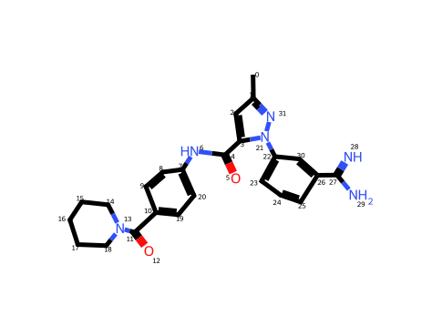 Cc1cc(C(=O)Nc2ccc(C(=O)N3CCCCC3)cc2)n(-c2cccc(C(=N)N)c2)n1